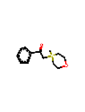 CS1(CC(=O)c2ccccc2)CCOCC1